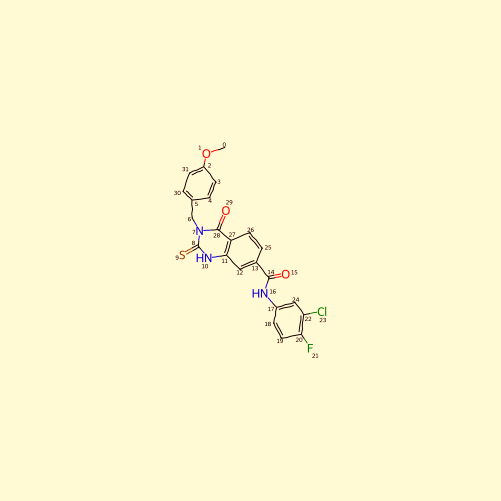 COc1ccc(Cn2c(=S)[nH]c3cc(C(=O)Nc4ccc(F)c(Cl)c4)ccc3c2=O)cc1